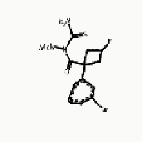 CNN(C(=O)C1(c2cccc(Br)c2)CC(F)C1)C(N)=S